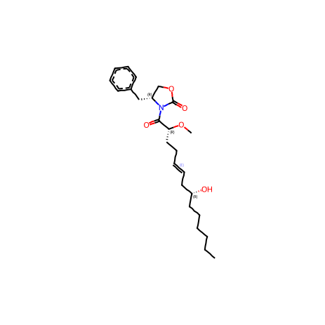 CCCCCC[C@@H](O)C/C=C/CC[C@@H](OC)C(=O)N1C(=O)OC[C@H]1Cc1ccccc1